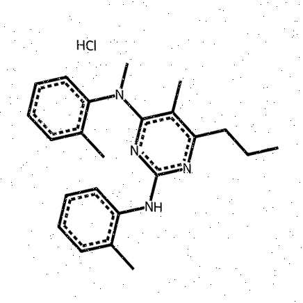 CCCc1nc(Nc2ccccc2C)nc(N(C)c2ccccc2C)c1C.Cl